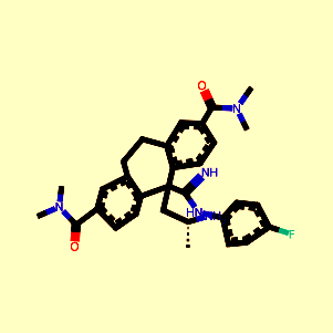 C[C@@H](N)CC1(C(=N)Nc2ccc(F)cc2)c2ccc(C(=O)N(C)C)cc2CCc2cc(C(=O)N(C)C)ccc21